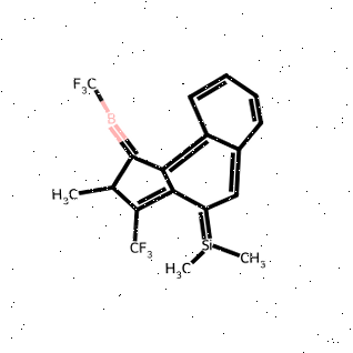 CC1C(=BC(F)(F)F)c2c(c(=[Si](C)C)cc3ccccc23)=C1C(F)(F)F